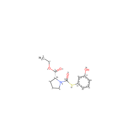 CCOC(=O)[C@H]1CCCN1C(=O)Sc1cccc(O)c1